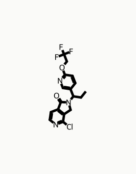 CCC(c1ccc(OCC(F)(F)F)nc1)N1Cc2c(ccnc2Cl)C1=O